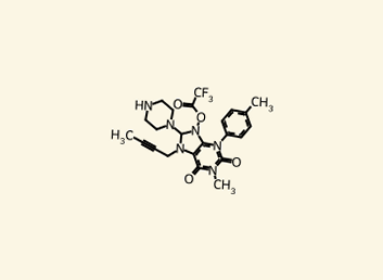 CC#CCN1c2c(n(-c3ccc(C)cc3)c(=O)n(C)c2=O)N(OC(=O)C(F)(F)F)C1N1CCNCC1